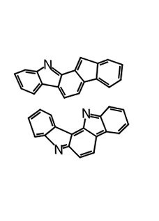 C1=c2c(ccc3c2=Nc2ccccc2-3)-c2ccccc21.c1ccc2c(c1)N=c1ccc3c(c1-2)N=c1ccccc1=3